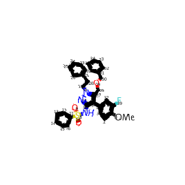 COc1ccc(-c2c(NS(=O)(=O)c3ccccc3)nn(CCc3ccccc3)c2COCc2ccccc2)cc1F